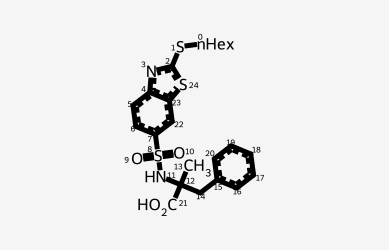 CCCCCCSc1nc2ccc(S(=O)(=O)NC(C)(Cc3ccccc3)C(=O)O)cc2s1